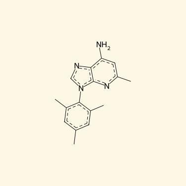 Cc1cc(C)c(-n2cnc3c(N)cc(C)nc32)c(C)c1